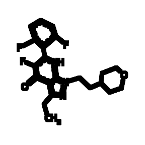 CCc1nn(CCC2CCOCC2)c2[nH]c(-c3c(F)cccc3F)c(F)c(=O)c12